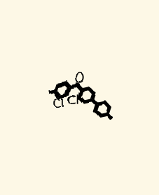 Cc1ccc(C(=O)C2CCC(C3CCC(C)CC3)CC2)c(Cl)c1Cl